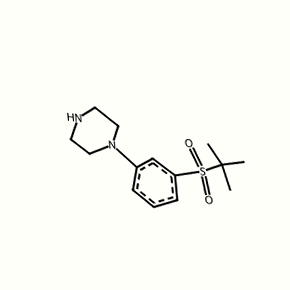 CC(C)(C)S(=O)(=O)c1cccc(N2CCNCC2)c1